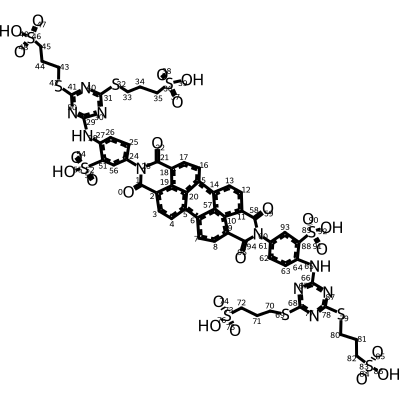 O=C1c2ccc3c4ccc5c6c(ccc(c7ccc(c2c37)C(=O)N1c1ccc(Nc2nc(SCCCS(=O)(=O)O)nc(SCCCS(=O)(=O)O)n2)c(S(=O)(=O)O)c1)c64)C(=O)N(c1ccc(Nc2nc(SCCCS(=O)(=O)O)nc(SCCCS(=O)(=O)O)n2)c(S(=O)(=O)O)c1)C5=O